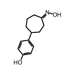 O/N=C1/CCCC(c2ccc(O)cc2)CC1